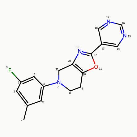 Cc1cc(F)cc(N2CCc3oc(-c4cncnc4)nc3C2)c1